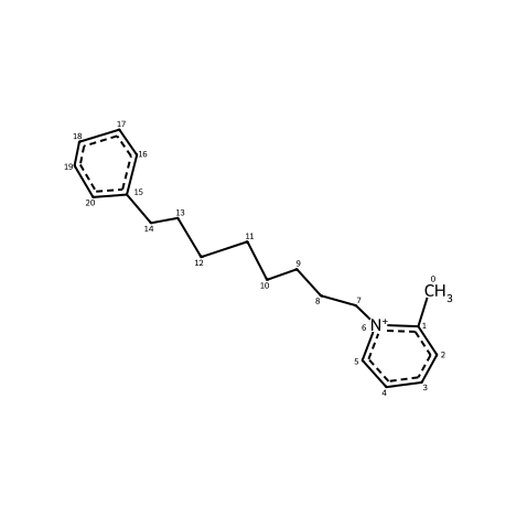 Cc1cccc[n+]1CCCCCCCCc1ccccc1